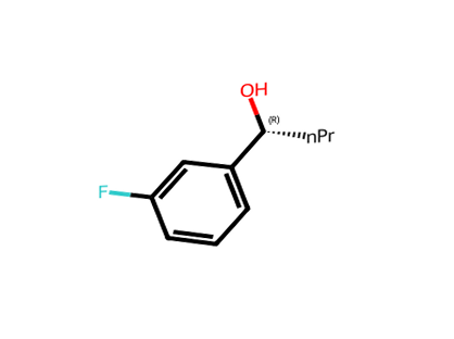 CCC[C@@H](O)c1cccc(F)c1